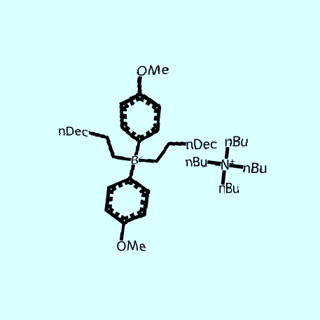 CCCCCCCCCCCC[B-](CCCCCCCCCCCC)(c1ccc(OC)cc1)c1ccc(OC)cc1.CCCC[N+](CCCC)(CCCC)CCCC